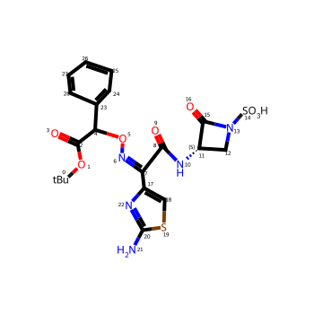 CC(C)(C)OC(=O)C(ON=C(C(=O)N[C@H]1CN(S(=O)(=O)O)C1=O)c1csc(N)n1)c1ccccc1